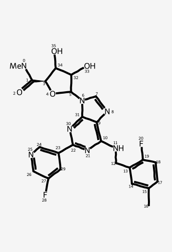 CNC(=O)[C@@H]1OC(n2cnc3c(NCc4cc(C)ccc4F)nc(-c4cncc(F)c4)nc32)C(O)C1O